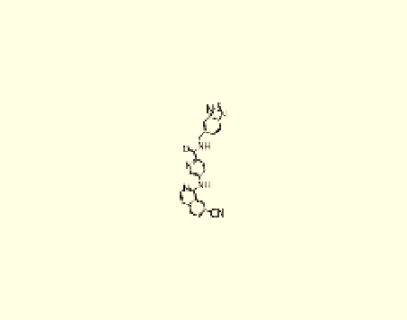 N#Cc1ccc2ccnc(Nc3ccc(C(=O)NCc4ccc5nsnc5c4)nc3)c2c1